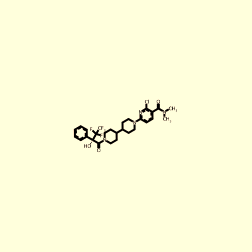 CN(C)C(=O)c1ccc(N2CCC(C3CCN(C(=O)[C@@](O)(c4ccccc4)C(F)(F)C(F)(F)F)CC3)CC2)nc1Cl